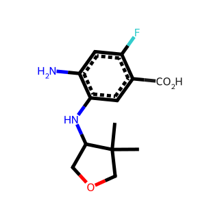 CC1(C)COCC1Nc1cc(C(=O)O)c(F)cc1N